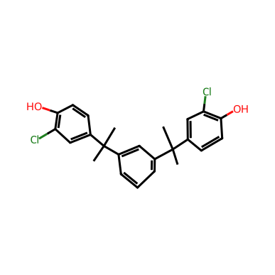 CC(C)(c1cccc(C(C)(C)c2ccc(O)c(Cl)c2)c1)c1ccc(O)c(Cl)c1